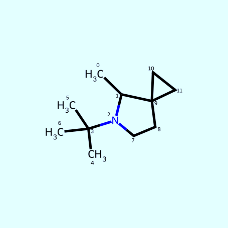 CC1N(C(C)(C)C)CCC12CC2